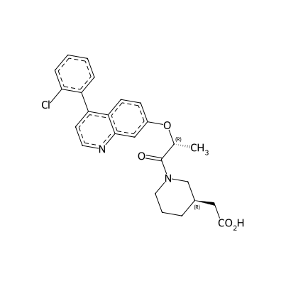 C[C@@H](Oc1ccc2c(-c3ccccc3Cl)ccnc2c1)C(=O)N1CCC[C@H](CC(=O)O)C1